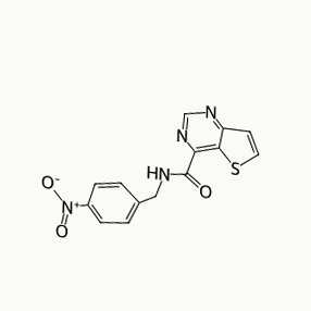 O=C(NCc1ccc([N+](=O)[O-])cc1)c1ncnc2ccsc12